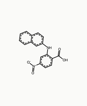 O=C(O)c1ccc([N+](=O)[O-])cc1Nc1ccc2ccccc2c1